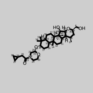 C[C@@H]1C[C@H](CO)O[C@H]2[C@H]1[C@@]1(C)CCC34C[C@@]35CC[C@H](O[C@H]3CN(C(=O)CC6CC6)CCO3)C(C)(C)[C@@H]5CC[C@H]4[C@]1(C)[C@H]2O